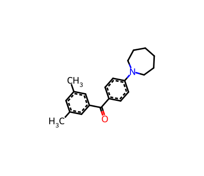 Cc1cc(C)cc(C(=O)c2ccc(N3CCCCCC3)cc2)c1